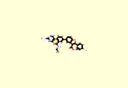 CNC(=O)c1c(-c2ccc(F)cc2)oc2ccc(-c3ccc(-c4cnc(N)nc4)c(C(=O)NCC(C)C)c3)cc12